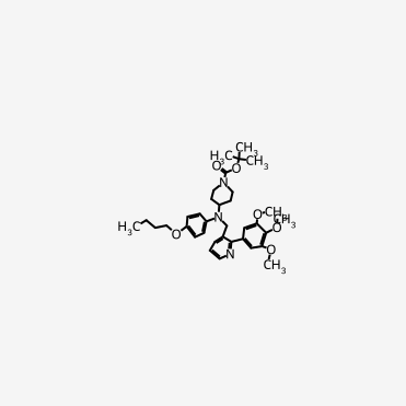 CCCCOc1ccc(N(Cc2cccnc2-c2cc(OC)c(OC)c(OC)c2)C2CCN(C(=O)OC(C)(C)C)CC2)cc1